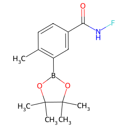 Cc1ccc(C(=O)NF)cc1B1OC(C)(C)C(C)(C)O1